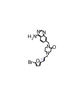 Nc1ncnc2cc(CN3CCN(C/C=C/c4ccc(Br)o4)CC3=O)ccc12